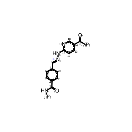 CC(C)NC(=O)c1ccc(/C=N/Nc2ccc(C(=O)C(C)C)cn2)cc1